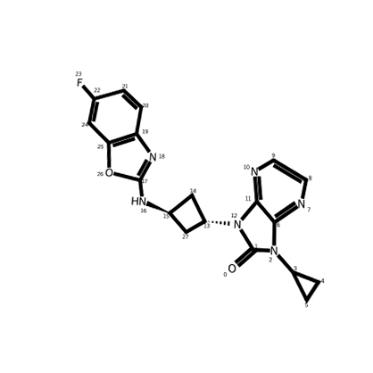 O=c1n(C2CC2)c2nccnc2n1[C@H]1C[C@H](Nc2nc3ccc(F)cc3o2)C1